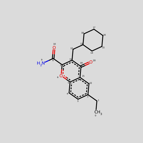 CCc1ccc2oc(C(N)=O)c(CC3CCCCC3)c(=O)c2c1